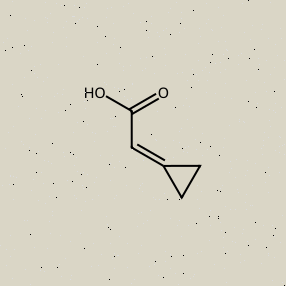 O=C(O)C=C1CC1